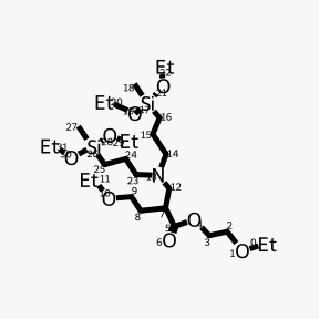 CCOCCOC(=O)C(CCOCC)CN(CCC[Si](C)(OCC)OCC)CCC[Si](C)(OCC)OCC